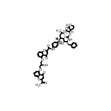 CC(=O)c1cc(=O)c2c(OCC(O)COc3cccc4oc(C(=O)Nc5ccc(S(=O)(=O)C(CC(C)C)C[C@@H](O)[C@H](Cc6ccccc6)NC(=O)O[C@H]6CO[C@H]7OCC[C@H]76)cc5)cc(=O)c34)cccc2o1